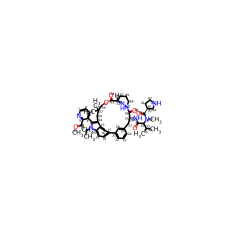 CCn1c(-c2cccnc2[C@H](C)OC)c2c3cc(ccc31)-c1cccc(c1)C[C@H](NC(=O)C(C(C)C)N(C)C(=O)[C@H]1CCNC1)C(=O)N1CCC[C@H](N1)C(=O)OCC(C)(C)C2